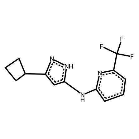 FC(F)(F)c1cccc(Nc2cc(C3CCC3)n[nH]2)n1